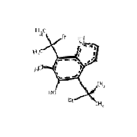 CCC(C)(C)c1c(O)c(O)c(C(C)(C)CC)c2[nH]ccc12